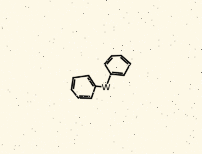 c1cc[c]([W][c]2ccccc2)cc1